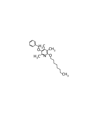 CCCCCCCCOc1nc(C)c(OCc2ccccc2)c(C)c1C